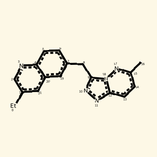 CCc1cnc2ccc(Cc3nnc4ccc(C)nn34)cc2c1